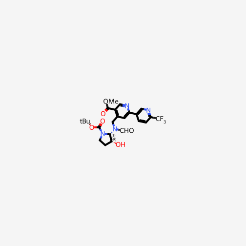 COC(=O)c1cnc(-c2ccc(C(F)(F)F)nc2)cc1CN(C=O)[C@@H]1[C@H](O)CCN1C(=O)OC(C)(C)C